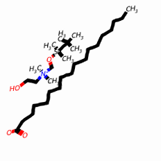 CC(C)(C)[Si](C)(C)OC[N+](C)(C)CCO.CCCCCCCCCCCCCCCCCC(=O)[O-]